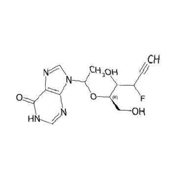 C#CC(F)C(O)[C@@H](CO)OC(C)n1cnc2c(=O)[nH]cnc21